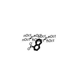 CCCCCCCC[P+](CCCCCCCC)(CCCCCCCC)CCCCCCCC.CCCCCCCC[P+](CCCCCCCC)(CCCCCCCC)CCCCCCCC.[O-]P([O-])c1cccc2ccccc12